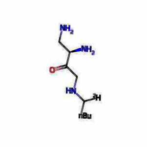 [2H]C(CCCC)NCC(=O)[C@H](N)CN